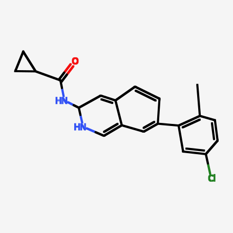 Cc1ccc(Cl)cc1-c1ccc2c(c1)=CNC(NC(=O)C1CC1)C=2